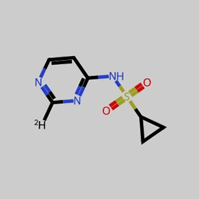 [2H]c1nccc(NS(=O)(=O)C2CC2)n1